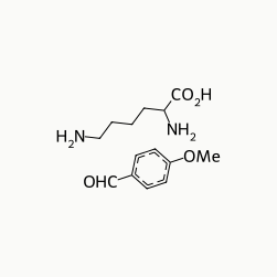 COc1ccc(C=O)cc1.NCCCCC(N)C(=O)O